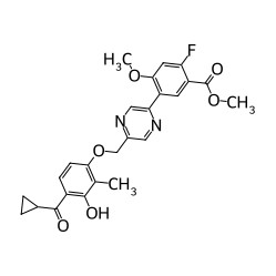 COC(=O)c1cc(-c2cnc(COc3ccc(C(=O)C4CC4)c(O)c3C)cn2)c(OC)cc1F